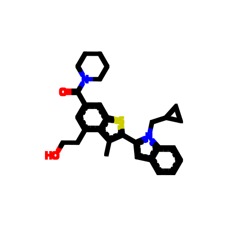 Cc1c(-c2cc3ccccc3n2CC2CC2)sc2cc(C(=O)N3CCCCC3)cc(CCO)c12